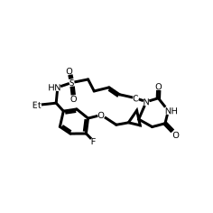 CCC(NS(=O)(=O)CC/C=C/CN1CCC(=O)NC1=O)c1ccc(F)c(OCC2CC2)c1